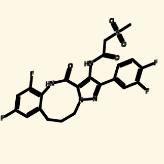 CS(=O)(=O)CC(=O)Nc1c(-c2ccc(F)c(F)c2)nn2c1C(=O)Nc1c(F)cc(F)cc1CCC2